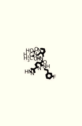 CC(C)(C)N(Cc1ncccc1CNC(=O)c1ccc(-c2cn[nH]c2)nc1NCCc1cccc(F)c1)C(=O)O